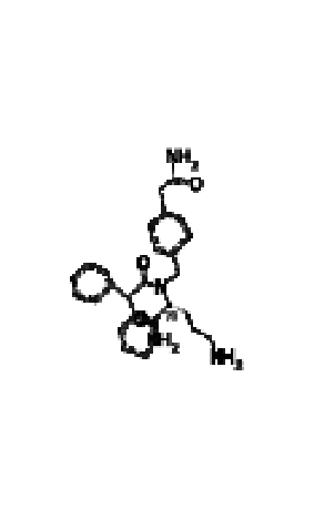 NCCC[C@H](C(N)=O)N(Cc1ccc(CC(N)=O)cc1)C(=O)C(c1ccccc1)c1ccccc1